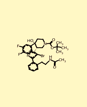 CC(=O)NCCc1ccccc1-c1noc([C@H]2CN(C(=O)OC(C)(C)C)CC[C@]2(O)c2ccc(F)c(F)c2)c1Br